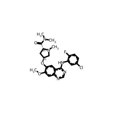 COc1cc2ncnc(Nc3cc(Cl)ccc3F)c2cc1O[C@H]1C[C@H](C(=O)N(C)C)N(C)C1